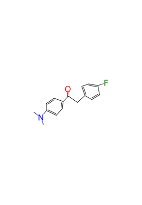 CN(C)c1ccc(C(=O)Cc2ccc(F)cc2)cc1